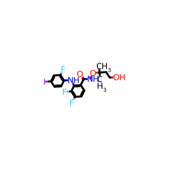 CC(C)(CCO)ONC(=O)c1ccc(F)c(F)c1Nc1ccc(I)cc1F